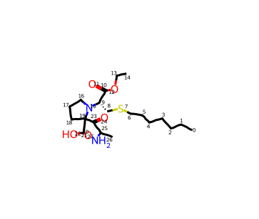 CCCCCCCSC[C@@H](C(=O)OCC)N1CCCC1(C(=O)O)C(=O)C(C)N